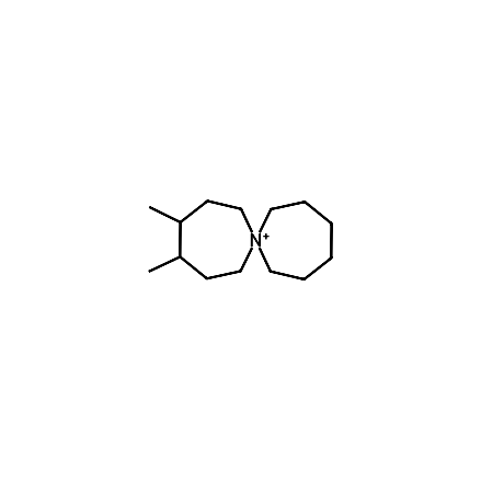 CC1CC[N+]2(CCCCCC2)CCC1C